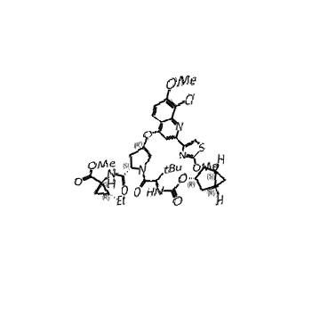 CC[C@@H]1C[C@]1(NC(=O)[C@@H]1C[C@@H](Oc2cc(-c3csc(OC)n3)nc3c(Cl)c(OC)ccc23)CN1C(=O)C(NC(=O)O[C@@H]1C[C@@H]2C[C@@H]2C1)C(C)(C)C)C(=O)OC